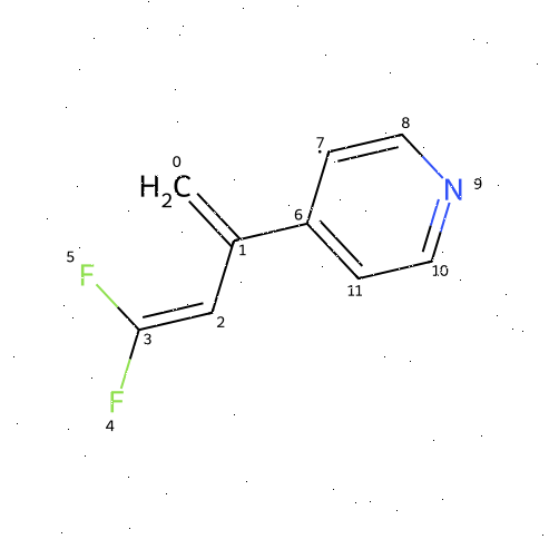 C=C(C=C(F)F)c1[c]cncc1